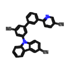 N#Cc1ccc(-c2cccc(-c3cc(C#N)cc(-n4c5ccccc5c5cc(C#N)ccc54)c3)c2)nc1